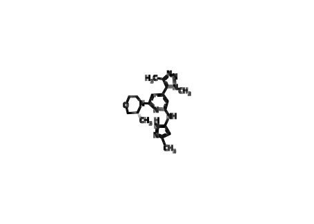 Cc1cc(Nc2cc(-c3c(C)nnn3C)cc(N3CCOC[C@H]3C)n2)[nH]n1